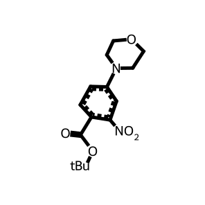 CC(C)(C)OC(=O)c1ccc(N2CCOCC2)cc1[N+](=O)[O-]